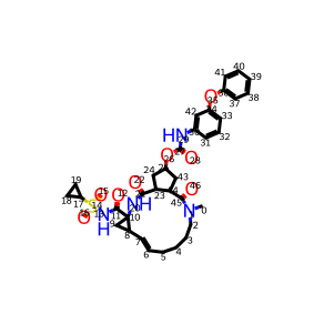 CN1CCCC/C=C/C2CC2(C(=O)NS(=O)(=O)C2CC2)NC(=O)C2CC(OC(=O)Nc3cccc(Oc4ccccc4)c3)CC2C1=O